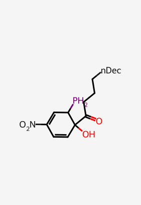 CCCCCCCCCCCCCC(=O)C1(O)C=CC([N+](=O)[O-])=CC1P